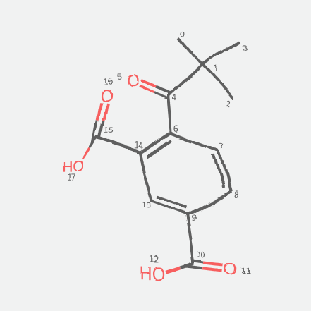 CC(C)(C)C(=O)c1ccc(C(=O)O)cc1C(=O)O